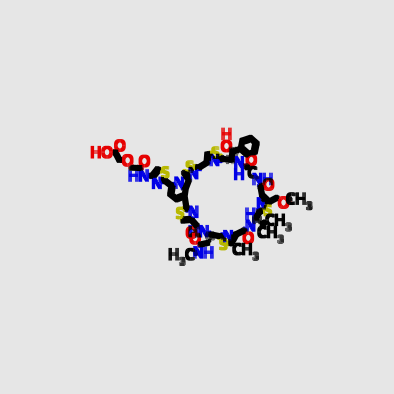 CNC(=O)C[C@@H]1NC(=O)c2csc(n2)-c2ccc(-c3nc(NC(=O)COCC(=O)O)cs3)nc2-c2csc(n2)-c2csc(n2)[C@H]([C@@H](O)c2ccccc2)NC(=O)CNC(=O)c2nc(sc2COC)[C@H](C(C)C)NC(=O)c2nc1sc2C